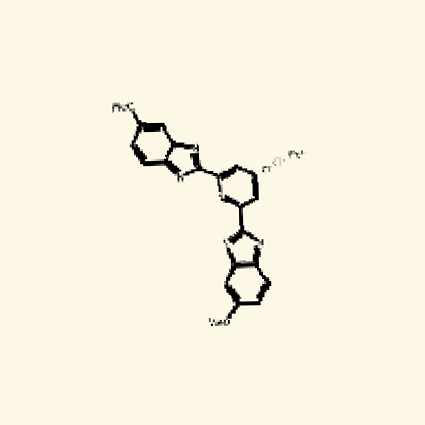 COC1=CC2N=C(c3cccc(C4=NC5C=C(OC)C=CC5=N4)n3)N=C2C=C1.[Cl-].[Cl-].[Fe+2]